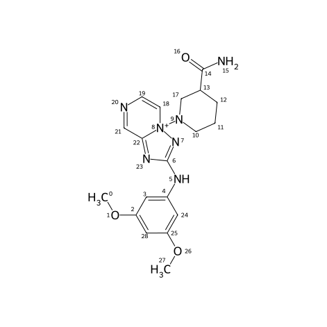 COc1cc(NC2=N[N+]3(N4CCCC(C(N)=O)C4)C=CN=CC3=N2)cc(OC)c1